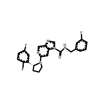 O=C(NCc1cccc(F)c1)n1cnc2cnc(N3CCC[C@@H]3c3cc(F)ccc3F)cc21